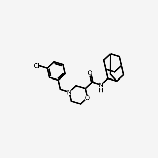 O=C(NC1C2CC3CC(C2)CC1C3)C1CN(Cc2cccc(Cl)c2)CCO1